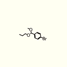 CCCOC(OC)c1ccc(Br)cc1